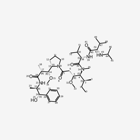 CC[C@H](C)[C@@H]([C@@H](CC(=O)N1CCC[C@H]1[C@H](OC)[C@@H](C)C(=O)N[C@H](C)[C@@H](O)c1ccccc1)OC)N(C)C(=O)[C@@H](NC(=O)[C@@H](NC(C)C)C(C)C)C(C)C